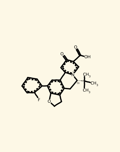 CC(C)(C)[C@@H]1Cc2c(cc(-c3ccccc3F)c3c2CCO3)-c2cc(=O)c(C(=O)O)cn21